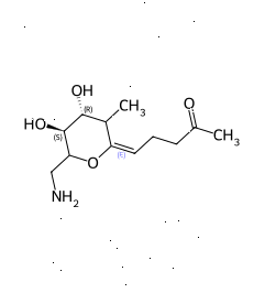 CC(=O)CC/C=C1/OC(CN)[C@@H](O)[C@H](O)C1C